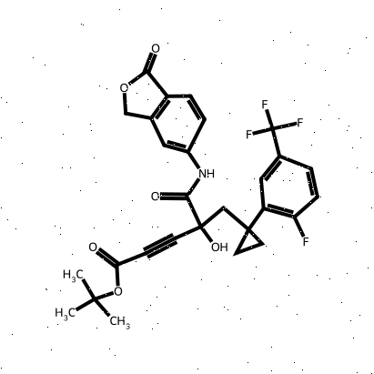 CC(C)(C)OC(=O)C#CC(O)(CC1(c2cc(C(F)(F)F)ccc2F)CC1)C(=O)Nc1ccc2c(c1)COC2=O